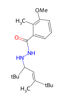 COc1cccc(C(=O)NNC(/C=C(\C)C(C)(C)C)C(C)(C)C)c1C